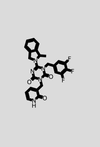 CC1c2ccccc2CN1c1nc(=O)n(Cc2ccc[nH]c2=O)c(=O)n1Cc1cc(F)c(F)c(F)c1